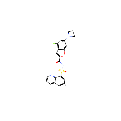 Cc1cc(S(=O)(=O)NC(=O)c2cc3c(F)cc(N4CCC4)cc3o2)c2ncccc2c1